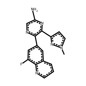 Cn1ccc(-c2nc(N)cnc2-c2cc(F)c3ncccc3c2)n1